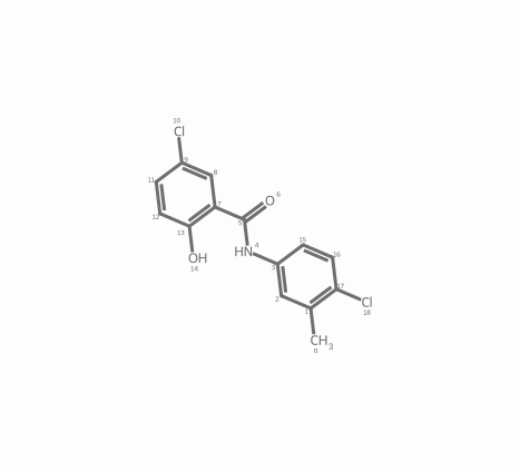 Cc1cc(NC(=O)c2cc(Cl)ccc2O)ccc1Cl